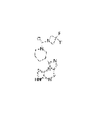 O=C(N1CCC[C@@H](c2ncc3cnc4[nH]ccc4n23)C1)N1CC(F)(F)C1